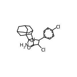 NC(=O)C12CC3CC(CC(C3)C1N1C(=O)C(Cl)C1c1ccc(Cl)cc1)C2